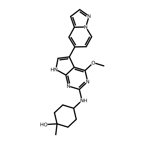 COc1nc(NC2CCC(C)(O)CC2)nc2[nH]cc(-c3ccn4nccc4c3)c12